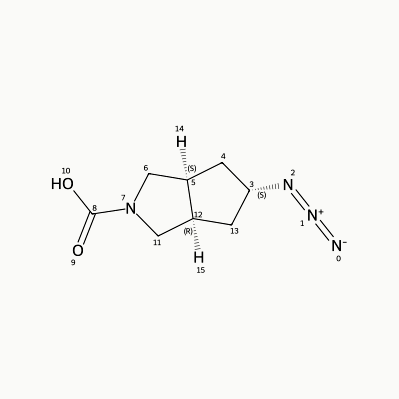 [N-]=[N+]=N[C@H]1C[C@@H]2CN(C(=O)O)C[C@@H]2C1